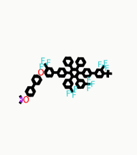 CI(C)Oc1ccc(-c2ccc(Oc3ccc(-c4ccc(-c5c(-c6ccccc6)c(-c6ccccc6)c(-c6ccc(-c7ccc(C(C)(C)C)c(C(F)(F)F)c7)cc6)c(-c6cccc(C(F)(F)F)c6)c5-c5cccc(C(F)(F)F)c5)cc4)cc3C(F)(F)F)cc2)cc1